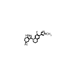 CC(=O)N1CCc2[nH]nc(N3CCCc4cc(-c5cnn(C)c5)c(F)cc43)c2C1